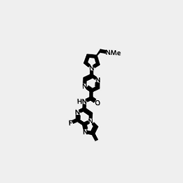 CNC[C@@H]1CCN(c2cnc(C(=O)Nc3cn4cc(C)nc4c(F)n3)cn2)C1